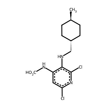 C[C@H]1CC[C@H](CNc2c(NC(=O)O)cc(Cl)nc2Cl)CC1